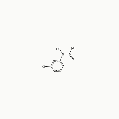 NC(=O)N(O)c1cccc(Cl)c1